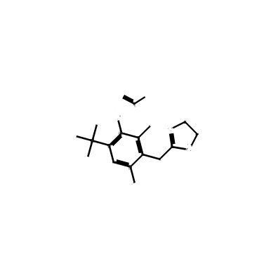 Cc1cc(C(C)(C)C)c(O)c(C)c1CC1=NCCN1.O=CO